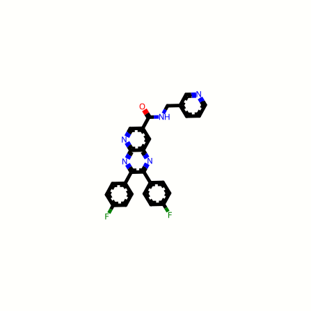 O=C(NCc1cccnc1)c1cnc2nc(-c3ccc(F)cc3)c(-c3ccc(F)cc3)nc2c1